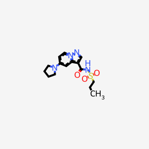 CCCS(=O)(=O)NC(=O)c1cnn2ccc(N3CCCC3)cc12